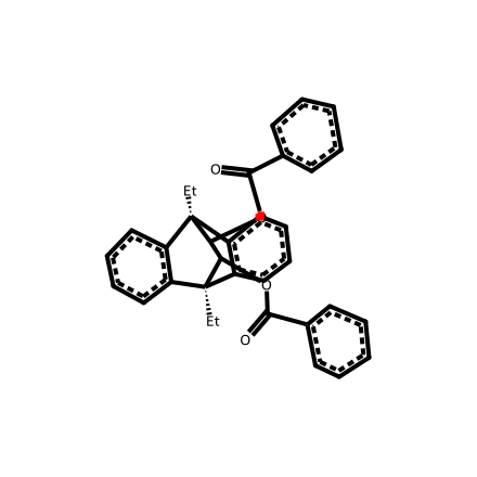 CC[C@]12c3ccccc3[C@](CC)(c3ccccc31)C(OC(=O)c1ccccc1)C2OC(=O)c1ccccc1